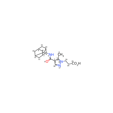 Cc1c(C(=O)NC2C3CC4CC(C3)CC2C4)cnn1CCC(=O)O